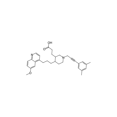 COc1ccc2nccc(CCCC3CCN(CC#Cc4cc(C)cc(C)c4)CC3CCC(=O)O)c2c1